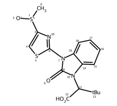 C[S+]([O-])c1csc(-n2c(=O)n(C(C(=O)O)C(C)(C)C)c3ccccc32)n1